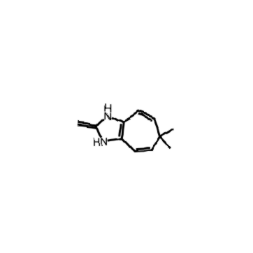 C=C1NC2=C(C=CC(C)(C)C=C2)N1